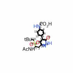 CC(=O)NC(Cc1cc(-c2ccc(NC(=O)O)cc2)c(=O)[nH]n1)S(=O)(=O)CC(C)(C)C